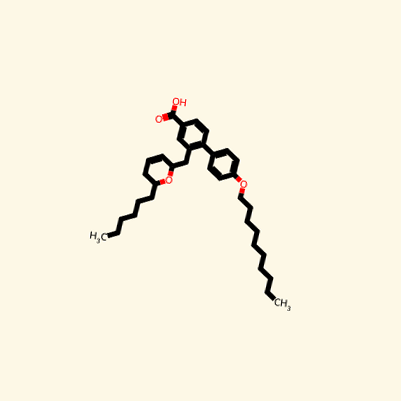 CCCCCCCCCCOc1ccc(-c2ccc(C(=O)O)cc2CC2C=CCC(CCCCCC)O2)cc1